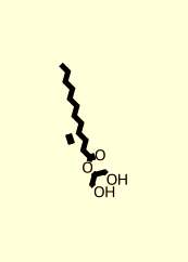 C=C.CCCCCCCCCCCC(=O)OC(CO)CO